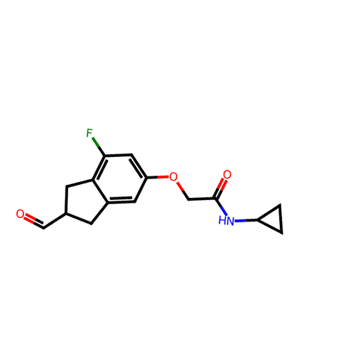 O=CC1Cc2cc(OCC(=O)NC3CC3)cc(F)c2C1